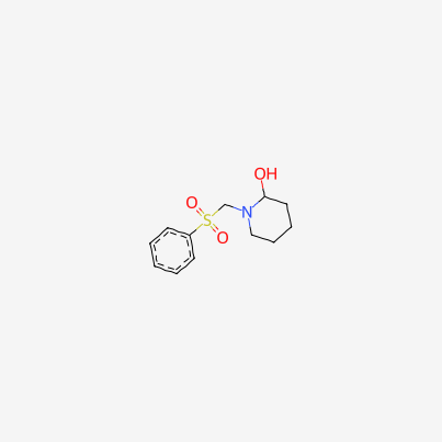 O=S(=O)(CN1CCCCC1O)c1ccccc1